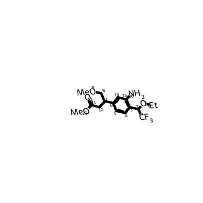 CCOC(c1ccc(C(COC)CC(=O)OC)cc1N)C(F)(F)F